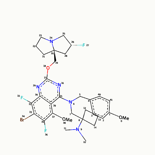 COc1ccc(CN(CC2(N(C)C)CCC2)c2nc(OC[C@@]34CCCN3C[C@H](F)C4)nc3c(F)c(Br)c(F)c(OC)c23)cc1